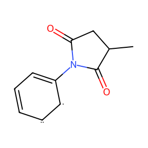 CC1CC(=O)N(C2=CC=C[C][CH]2)C1=O